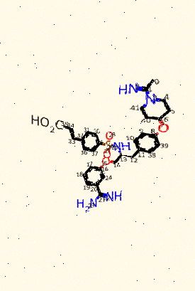 CC(=N)N1CCC(Oc2ccc(C[C@@H](COc3cccc(C(=N)N)c3)NS(=O)(=O)c3ccc(/C=C/C(=O)O)cc3)cc2)CC1